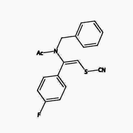 CC(=O)N(Cc1ccccc1)C(=CSC#N)c1ccc(F)cc1